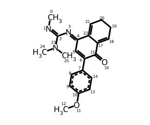 C/N=C(\N=C1/C=C(c2ccc(OC)cc2)C(=O)C2=CCCC=C21)N(C)C